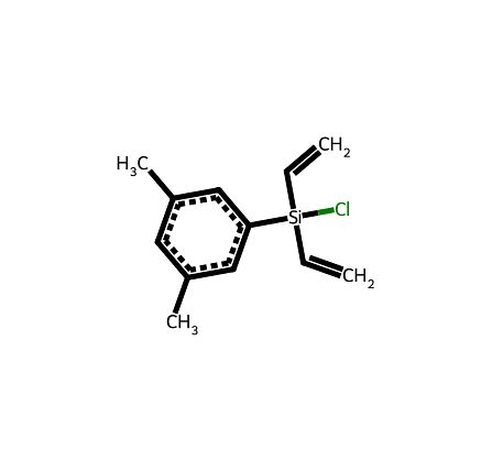 C=C[Si](Cl)(C=C)c1cc(C)cc(C)c1